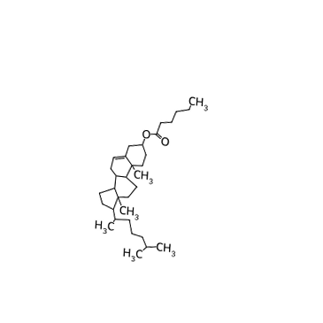 CCCCCC(=O)OC1CCC2(C)C(=CCC3C2CCC2(C)C(C(C)CCCC(C)C)CCC32)C1